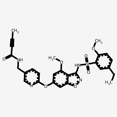 CC#CC(=O)NCc1ccc(Oc2cc(OC)c3c(NS(=O)(=O)c4cc(CC)ccc4OC)noc3c2)nc1